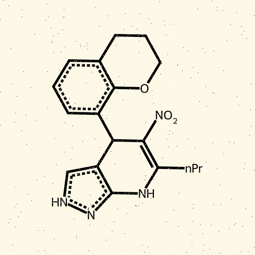 CCCC1=C([N+](=O)[O-])C(c2cccc3c2OCCC3)c2c[nH]nc2N1